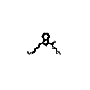 C=CCCCn1nc(C(=O)OCC)c2ccccc21